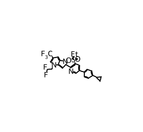 CCS(=O)(=O)c1cc(-c2ccc(C3CC3)cc2)cnc1-c1cc2n(CC(F)F)cc(C(F)(F)F)cc-2n1